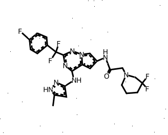 Cc1cc(Nc2nc(C(F)(F)c3ccc(F)cc3)nn3cc(NC(=O)CN4CCCC(F)(F)C4)cc23)n[nH]1